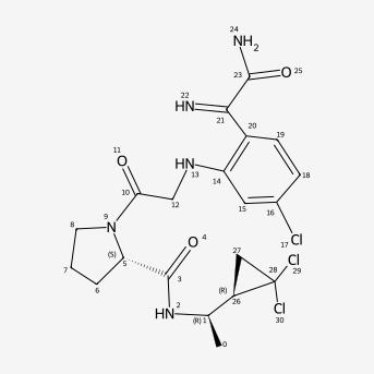 C[C@@H](NC(=O)[C@@H]1CCCN1C(=O)CNc1cc(Cl)ccc1C(=N)C(N)=O)[C@H]1CC1(Cl)Cl